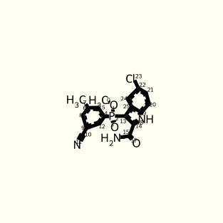 COP(=O)(c1cc(C)cc(C#N)c1)c1c(C(N)=O)[nH]c2ccc(Cl)cc12